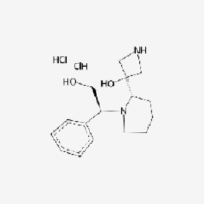 Cl.Cl.OC[C@H](c1ccccc1)N1CCCC[C@H]1C1(O)CNC1